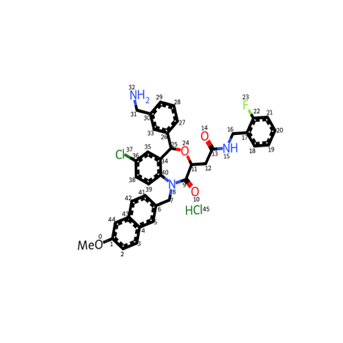 COc1ccc2cc(CN3C(=O)C(CC(=O)NCc4ccccc4F)OC(c4cccc(CN)c4)c4cc(Cl)ccc43)ccc2c1.Cl